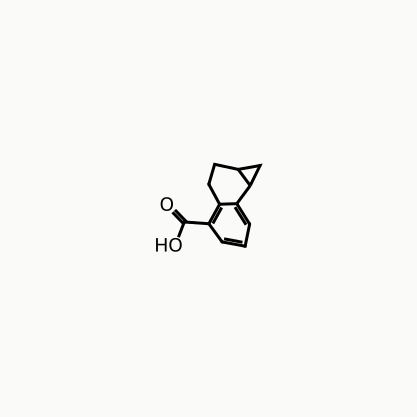 O=C(O)c1cccc2c1CCC1CC21